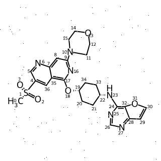 CS(=O)(=O)c1cnc2cc(N3CCOCC3)nc(O[C@H]3CC[C@@H](Nc4ncnc5ccoc45)CC3)c2c1